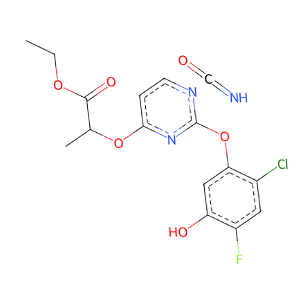 CCOC(=O)C(C)Oc1ccnc(Oc2cc(O)c(F)cc2Cl)n1.N=C=O